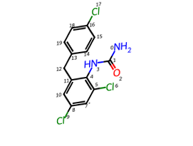 NC(=O)Nc1c(Cl)[c]c(Cl)cc1Cc1ccc(Cl)cc1